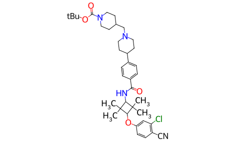 CC(C)(C)OC(=O)N1CCC(CN2CCC(c3ccc(C(=O)NC4C(C)(C)C(Oc5ccc(C#N)c(Cl)c5)C4(C)C)cc3)CC2)CC1